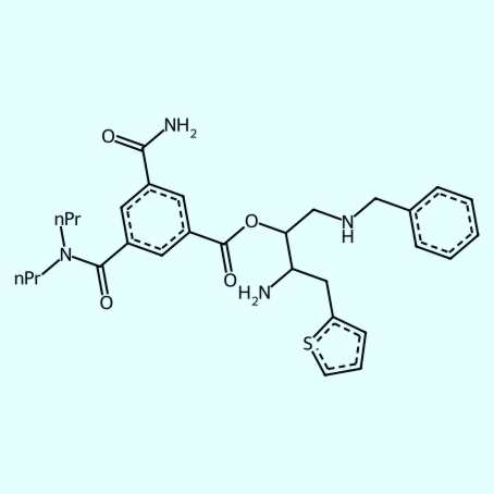 CCCN(CCC)C(=O)c1cc(C(N)=O)cc(C(=O)OC(CNCc2ccccc2)C(N)Cc2cccs2)c1